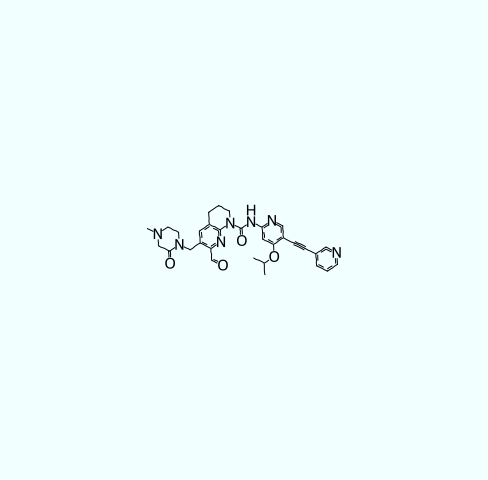 CC(C)Oc1cc(NC(=O)N2CCCc3cc(CN4CCN(C)CC4=O)c(C=O)nc32)ncc1C#Cc1cccnc1